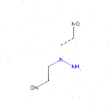 NN(CCN=O)CCN=O